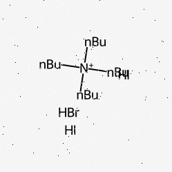 Br.CCCC[N+](CCCC)(CCCC)CCCC.I.I